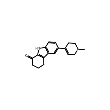 CN1CC=C(c2ccc3[nH]c4c(c3c2)CCCC4=O)CC1